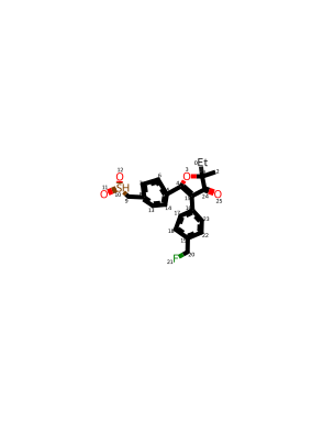 CCC1(C)OC(c2ccc(C[SH](=O)=O)cc2)=C(c2ccc(CF)cc2)C1=O